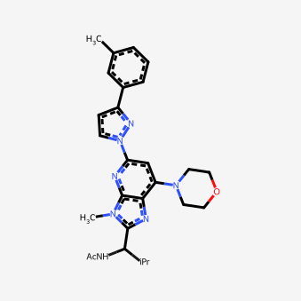 CC(=O)NC(c1nc2c(N3CCOCC3)cc(-n3ccc(-c4cccc(C)c4)n3)nc2n1C)C(C)C